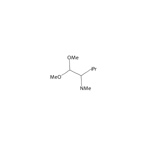 CNC(C(C)C)C(OC)OC